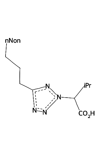 CCCCCCCCCCCCc1nnn(C(C(=O)O)C(C)C)n1